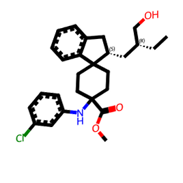 CC[C@@H](CO)C[C@H]1Cc2ccccc2C12CCC(Nc1cccc(Cl)c1)(C(=O)OC)CC2